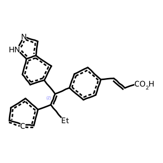 CC/C(=C(\c1ccc(C=CC(=O)O)cc1)c1ccc2[nH]ncc2c1)c1ccccc1